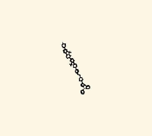 Cc1ccc(-c2ccc3c(c2)C(C)(C)c2cc(-c4ccc5c(c4)C(C)(C)c4cc(-c6ccc(/C=C/c7ccc(-c8ccc9c(c8)c8ccccc8n9-c8ccccc8)cc7)cc6)ccc4-5)ccc2-3)cc1